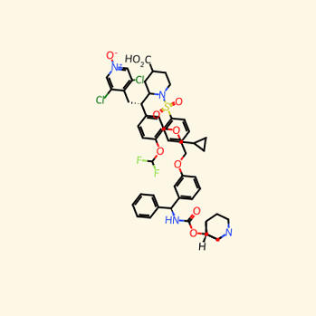 O=C(N[C@@H](c1ccccc1)c1cccc(OCc2ccc(S(=O)(=O)N3CCC(C(=O)O)CC3[C@@H](Cc3c(Cl)c[n+]([O-])cc3Cl)c3ccc(OC(F)F)c(OCC4CC4)c3)cc2)c1)O[C@H]1CN2CCC1CC2